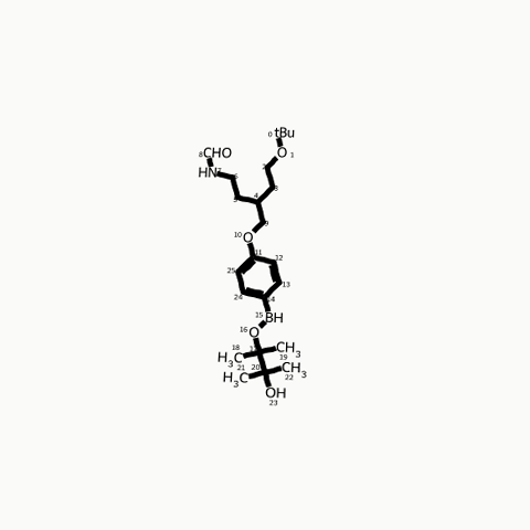 CC(C)(C)OCCC(CCNC=O)COc1ccc(BOC(C)(C)C(C)(C)O)cc1